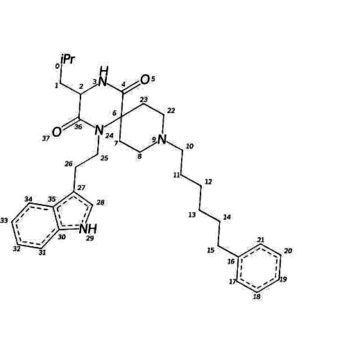 CC(C)CC1NC(=O)C2(CCN(CCCCCCc3ccccc3)CC2)N(CCc2c[nH]c3ccccc23)C1=O